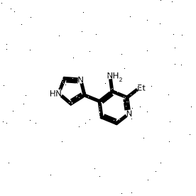 CCc1nccc(-c2c[nH]cn2)c1N